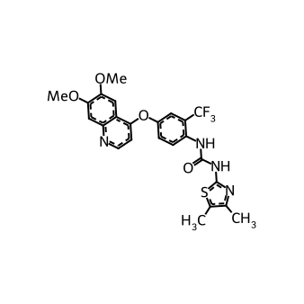 COc1cc2nccc(Oc3ccc(NC(=O)Nc4nc(C)c(C)s4)c(C(F)(F)F)c3)c2cc1OC